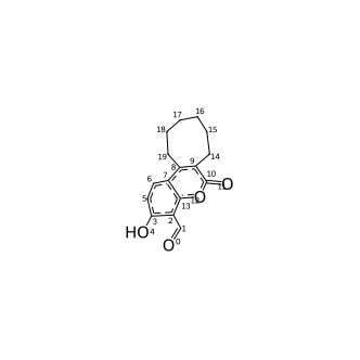 O=Cc1c(O)ccc2c3c(c(=O)oc12)CCCCCC3